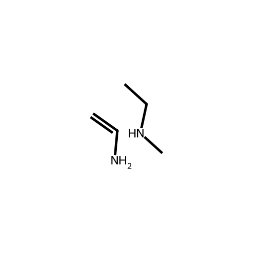 C=CN.CCNC